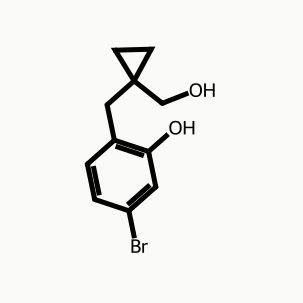 OCC1(Cc2ccc(Br)cc2O)CC1